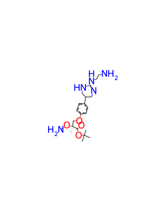 CC(C)(C)OC(=O)[C@](C)(COc1ccc(C2CN=C(NCCN)NC2)cc1)ON